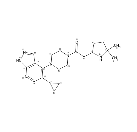 CC1(C)CCC(CC(=O)N2CCN(c3c(C4CC4)cnc4[nH]ncc34)CC2)N1